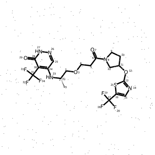 C[C@@H](COCCC(=O)N1CCC(Oc2ncc(C(F)(F)F)s2)C1)Nc1cn[nH]c(=O)c1C(F)(F)F